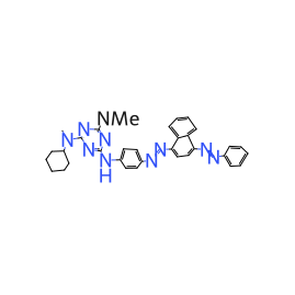 CNc1nc(Nc2ccc(N=Nc3ccc(N=Nc4ccccc4)c4ccccc34)cc2)nc(N(C)C2CCCCC2)n1